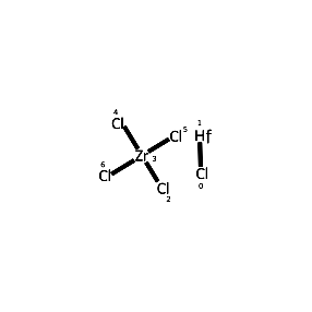 [Cl][Hf].[Cl][Zr]([Cl])([Cl])[Cl]